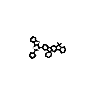 CC1(C)c2ccccc2-c2cc3c(cc21)-c1ccc(-c2nc(-c4ccccc4)nc4c2sc2ccccc24)cc1C31CCCCC1